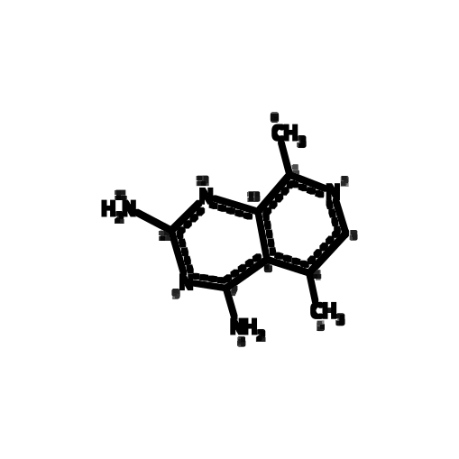 Cc1ncc(C)c2c(N)nc(N)nc12